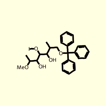 COC(C)C(O)C(OI)C(O)C(C)COC(c1ccccc1)(c1ccccc1)c1ccccc1